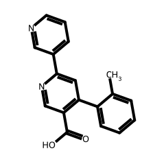 Cc1ccccc1-c1cc(-c2cccnc2)ncc1C(=O)O